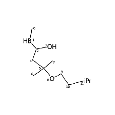 CBC(O)CC(C)(C)OCCC(C)C